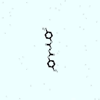 O=C(/N=N/C(=O)Oc1ccc([N+](=O)[O-])cc1)Oc1ccc([N+](=O)[O-])cc1